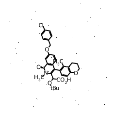 Cc1c(-c2c(C(OC(C)(C)C)C(=O)O)n(C)c(=O)c3cc(OCc4ccc(Cl)cc4)ccc23)ccc2c1CCCO2